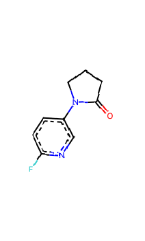 O=C1CCCN1c1ccc(F)nc1